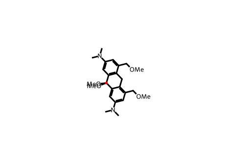 COCc1cc(N(C)C)cc(COC)c1Cc1c(COC)cc(N(C)C)cc1COC